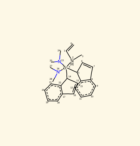 C=C[SiH](C)[Zr]([CH]1C=Cc2ccccc21)([CH]1C=Cc2ccccc21)([N](C)C)[N](C)C